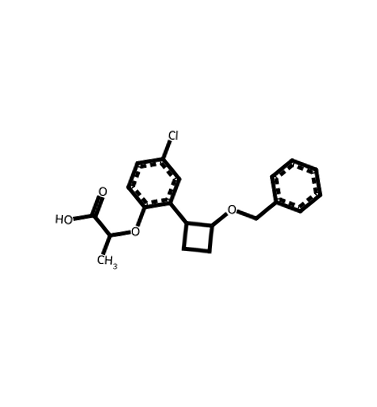 CC(Oc1ccc(Cl)cc1C1CCC1OCc1ccccc1)C(=O)O